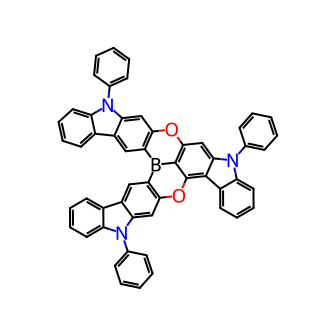 c1ccc(-n2c3ccccc3c3cc4c(cc32)Oc2cc3c(c5c2B4c2cc4c6ccccc6n(-c6ccccc6)c4cc2O5)c2ccccc2n3-c2ccccc2)cc1